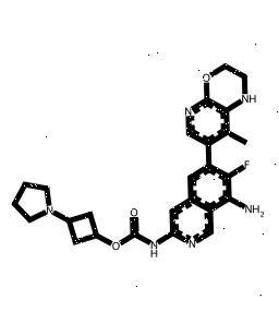 Cc1c(-c2cc3cc(NC(=O)OC4CC(N5CCCC5)C4)ncc3c(N)c2F)cnc2c1NCCO2